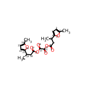 Cc1ccc(C(C)CC(=O)OC(=O)C(=O)OC(=O)CC(C)c2ccc(C)o2)o1